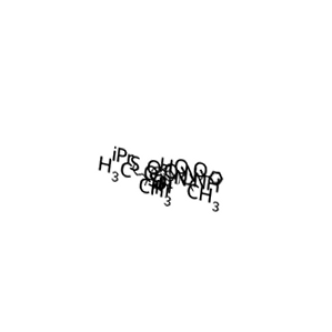 Cc1cn([C@H]2C[C@H]3O[Si](C(C)C)(C(C)CCC(C)SC(C)C)OOC[C@@H]3O2)c(=O)nc1NC(=O)c1ccccc1